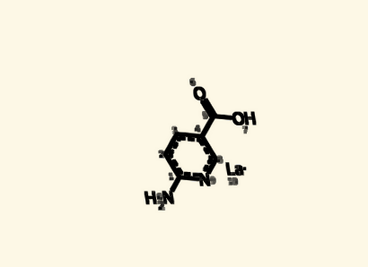 Nc1ccc(C(=O)O)cn1.[La]